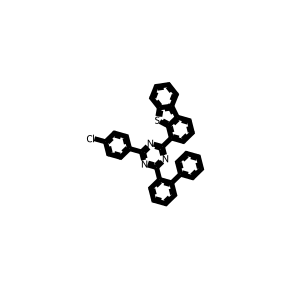 Clc1ccc(-c2nc(-c3ccccc3-c3ccccc3)nc(-c3cccc4c3sc3ccccc34)n2)cc1